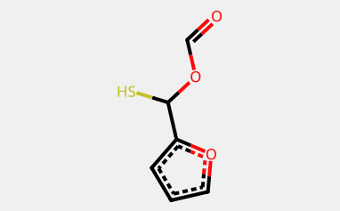 O=COC(S)c1ccco1